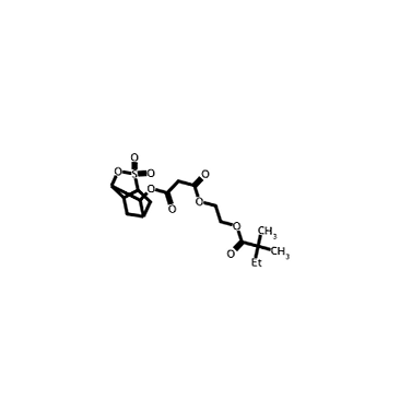 CCC(C)(C)C(=O)OCCOC(=O)CC(=O)OC1C2CC3C1OS(=O)(=O)C3C2